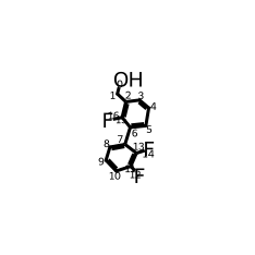 OCc1cccc(-c2cccc(F)c2F)c1F